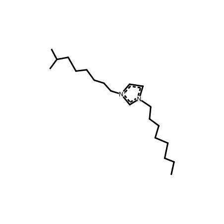 CCCCCCCCn1cc[n+](CCCCCCC(C)C)c1